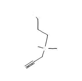 C#CC[N+](C)(C)CCCO